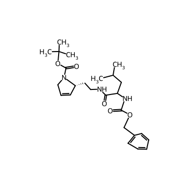 CC(C)CC(NC(=O)OCc1ccccc1)C(=O)NCC[C@@H]1C=CCN1C(=O)OC(C)(C)C